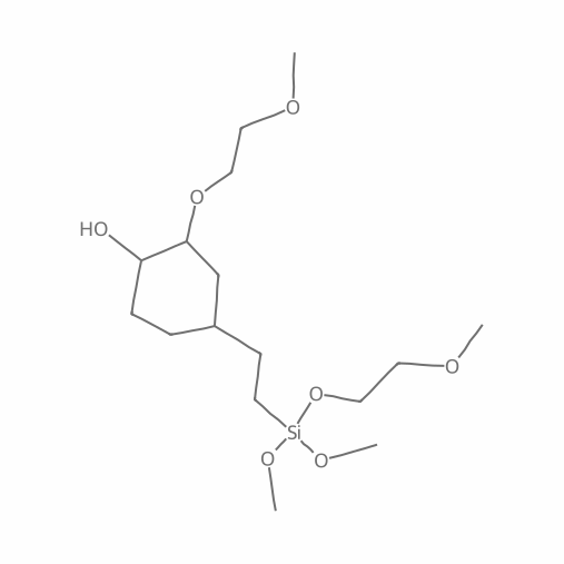 COCCOC1CC(CC[Si](OC)(OC)OCCOC)CCC1O